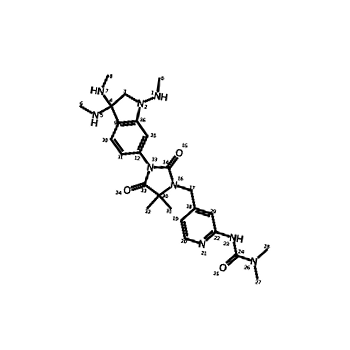 CNN1CC(NC)(NC)c2ccc(N3C(=O)N(Cc4ccnc(NC(=O)N(C)C)c4)C(C)(C)C3=O)cc21